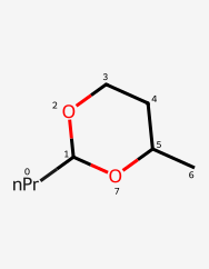 CCCC1OCCC(C)O1